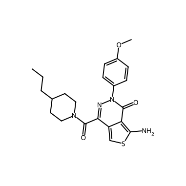 CCCC1CCN(C(=O)c2nn(-c3ccc(OC)cc3)c(=O)c3c(N)scc23)CC1